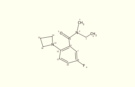 CCN(C)C(=O)c1cc(F)ccc1N1CCC1